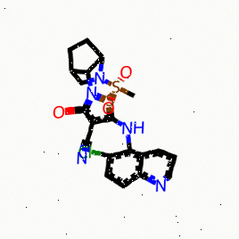 CS(=O)(=O)N1CC2CCC1C2n1sc(Nc2c(Cl)ccc3ncccc23)c(C#N)c1=O